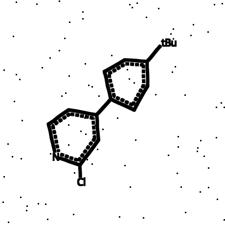 CC(C)(C)c1ccc(-c2ccnc(Cl)c2)cc1